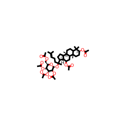 CC(=O)OC[C@H]1O[C@H](OC(C)(CCC=C(C)C)C2CC[C@]3(C)[C@@H]2C(OC(C)=O)CC2[C@@]4(C)CC[C@H](OC(C)=O)C(C)(C)C4CC[C@]23C)C(OC(C)=O)[C@@H](OC(C)=O)[C@@H]1OC(C)=O